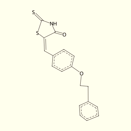 O=C1NC(=S)S/C1=C/c1ccc(OCCc2ccccc2)cc1